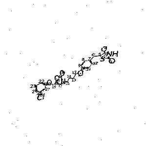 O=C1NC(=O)C(Cc2ccc(OCCCCN3CC(COc4cccc(Cl)c4)OC3=O)cc2)S1